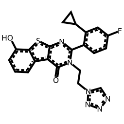 O=c1c2c(nc(-c3ccc(F)cc3C3CC3)n1CCn1cnnn1)sc1c(O)cccc12